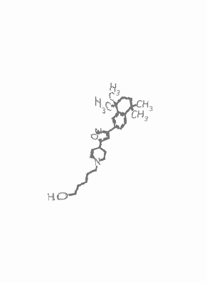 CC1(C)CCC(C)(C)c2cc(-c3cc(C4CCN(CCCCCO)CC4)on3)ccc21